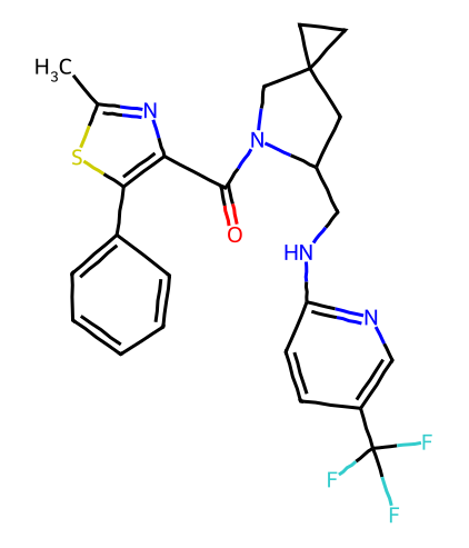 Cc1nc(C(=O)N2CC3(CC3)CC2CNc2ccc(C(F)(F)F)cn2)c(-c2ccccc2)s1